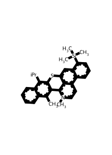 Cc1c2c(c(C(C)C)c3ccccc13)Sc1cc3c([Si](C)(C)C)cccc3c3cc[n+](C)c-2c13